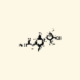 CC(C)COC(=O)Nc1nc(=O)n([C@@H]2O[C@H](C)C(O)C2O)cc1F